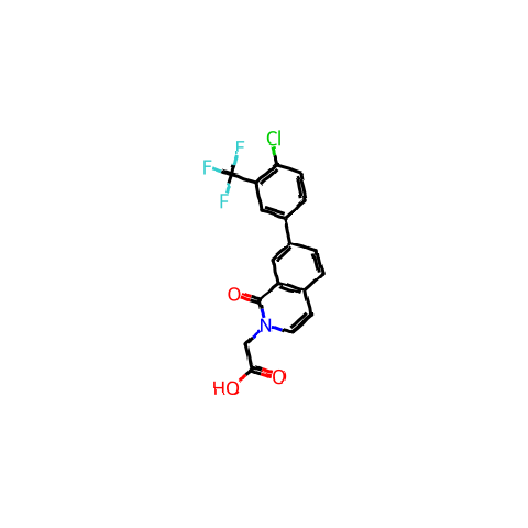 O=C(O)Cn1ccc2ccc(-c3ccc(Cl)c(C(F)(F)F)c3)cc2c1=O